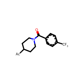 CC(=O)C1CCN(C(=O)c2ccc(C(F)(F)F)cc2)CC1